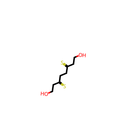 OCCC(=S)CCC(=S)CCO